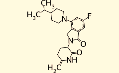 C=C1CCC(N2Cc3c(cc(F)cc3N3CCC(C(C)C)CC3)C2=O)C(=O)N1